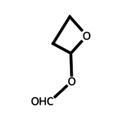 O=COC1CCO1